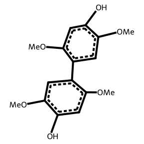 COc1cc(-c2cc(OC)c(O)cc2OC)c(OC)cc1O